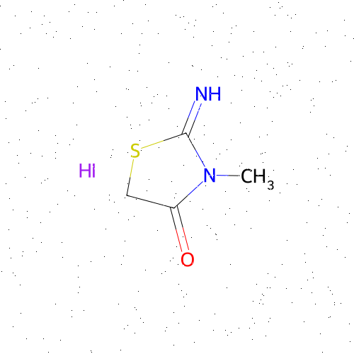 CN1C(=N)SCC1=O.I